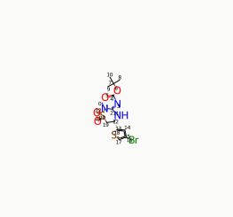 CN1/C(=N\C(=O)OC(C)(C)C)N[C@H](c2cc(Br)cs2)CS1(=O)=O